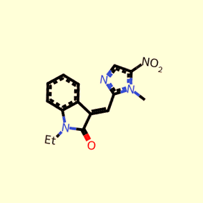 CCN1C(=O)/C(=C/c2ncc([N+](=O)[O-])n2C)c2ccccc21